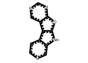 c1cc2c(cn1)[nH]c1oc3ncncc3c12